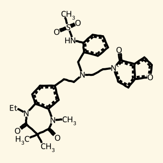 CCN1C(=O)C(C)(C)C(=O)N(C)c2cc(CCN(CCn3ccc4occc4c3=O)Cc3ccccc3NS(C)(=O)=O)ccc21